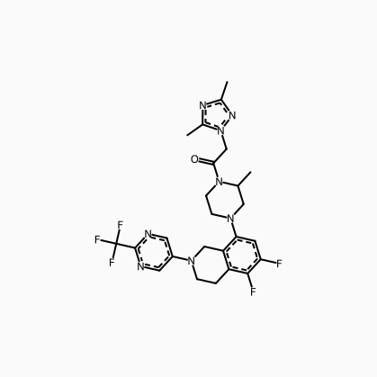 Cc1nc(C)n(CC(=O)N2CCN(c3cc(F)c(F)c4c3CN(c3cnc(C(F)(F)F)nc3)CC4)CC2C)n1